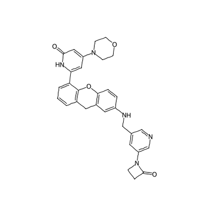 O=C1CCN1c1cncc(CNc2ccc3c(c2)Cc2cccc(-c4cc(N5CCOCC5)cc(=O)[nH]4)c2O3)c1